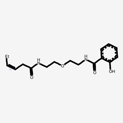 CC/C=C\CC(=O)NCCOCCNC(=O)c1ccccc1O